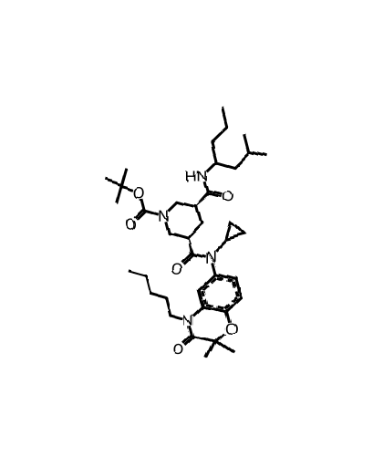 CCCCCN1C(=O)C(C)(C)Oc2ccc(N(C(=O)[C@@H]3C[C@H](C(=O)NC(CCC)CC(C)C)CN(C(=O)OC(C)(C)C)C3)C3CC3)cc21